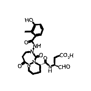 Cc1c(O)cccc1C(=O)NN1CCC(=O)N2CCC[C@@H](C(=O)N[C@H](C=O)CC(=O)O)N2C1=O